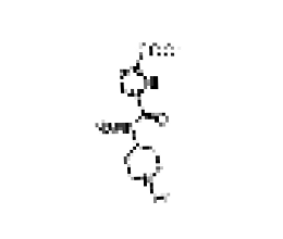 CC(C)N1CCC(NC(=O)c2ccc(C(=O)[O-])[nH]2)CC1.[Na+]